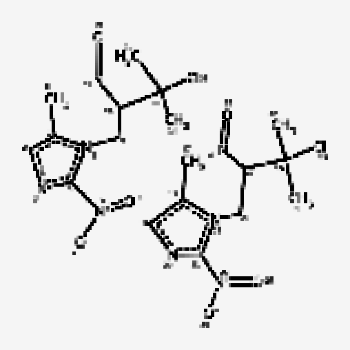 Cc1cnc([N+](=O)[O-])n1CC(N=O)C(C)(C)Cl.Cc1cnc([N+](=O)[O-])n1CC(N=O)C(C)(C)Cl